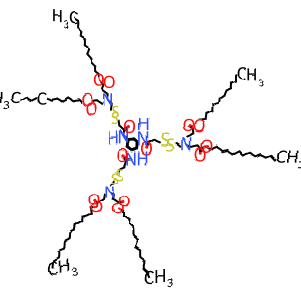 CCCCCCCCCCCCCCOC(=O)CCN(CCSSCCC(=O)Nc1cc(NC(=O)CCSSCCN(CCC(=O)OCCCCCCCCCCCCCC)CCC(=O)OCCCCCCCCCCCCCC)cc(NC(=O)CCSSCCN(CCC(=O)OCCCCCCCCCCCCCC)CCC(=O)OCCCCCCCCCCCCCC)c1)CCC(=O)OCCCCCCCCCCCCCC